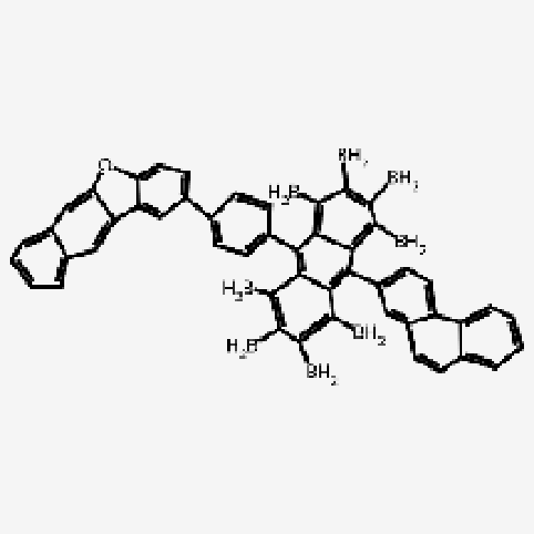 Bc1c(B)c(B)c2c(-c3ccc4c(ccc5ccccc54)c3)c3c(B)c(B)c(B)c(B)c3c(-c3ccc(-c4ccc5oc6cc7ccccc7cc6c5c4)cc3)c2c1B